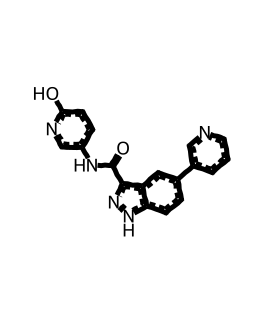 O=C(Nc1ccc(O)nc1)c1n[nH]c2ccc(-c3cccnc3)cc12